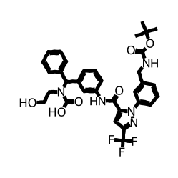 CC(C)(C)OC(=O)NCc1cccc(-n2nc(C(F)(F)F)cc2C(=O)Nc2cccc(C(c3ccccc3)N(CCO)C(=O)O)c2)c1